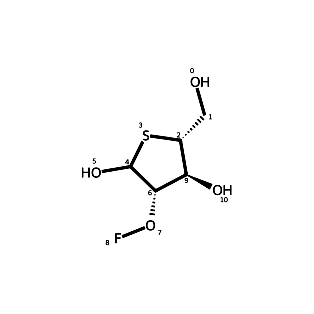 OC[C@H]1SC(O)[C@@H](OF)[C@@H]1O